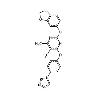 Cc1nc(Oc2ccc3c(c2)OCO3)nc(Oc2ccc(-n3ccnc3)cc2)c1C